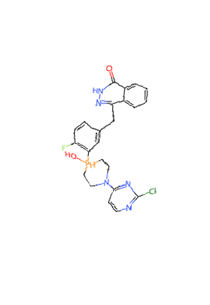 O=c1[nH]nc(Cc2ccc(F)c([PH]3(O)CCN(c4ccnc(Cl)n4)CC3)c2)c2ccccc12